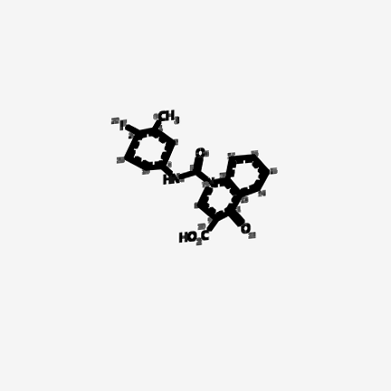 Cc1cc(NC(=O)n2cc(C(=O)O)c(=O)c3ccccc32)ccc1F